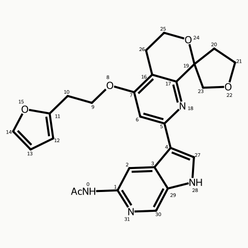 CC(=O)Nc1cc2c(-c3cc(OCCc4ccco4)c4c(n3)C3(CCOC3)OCC4)c[nH]c2cn1